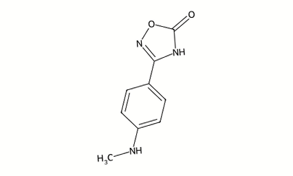 CNc1ccc(-c2noc(=O)[nH]2)cc1